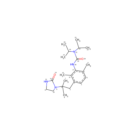 Cc1ccc(CC(C)(C)N2CCNC2=O)c(C)c1NC(=O)N(C(C)C)C(C)C